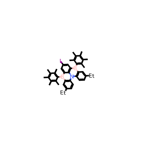 CCc1ccc2c(c1)B(c1c(C)c(C)c(C)c(C)c1C)c1cc(I)cc3c1N2c1ccc(CC)cc1B3c1c(C)c(C)c(C)c(C)c1C